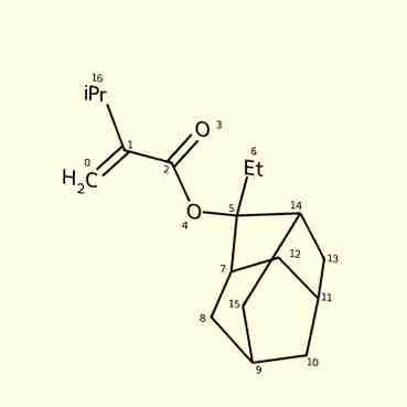 C=C(C(=O)OC1(CC)C2CC3CC(C2)CC1C3)C(C)C